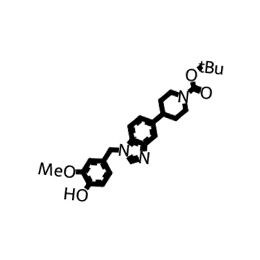 COc1cc(Cn2cnc3cc(C4CCN(C(=O)OC(C)(C)C)CC4)ccc32)ccc1O